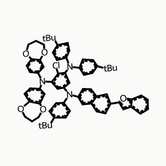 CC(C)(C)c1ccc(N(c2cc(N(c3ccc(C(C)(C)C)cc3)c3ccc(C(C)(C)C)cc3)c(Cl)c(N(c3ccc4c(c3)OCCCO4)c3ccc4c(c3)OCCCO4)c2)c2ccc3cc(-c4cc5ccccc5o4)ccc3c2)cc1